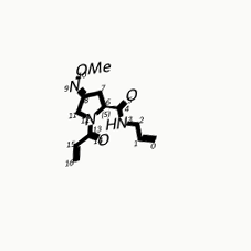 C=CCNC(=O)[C@@H]1CC(=NOC)CN1C(=O)C=C